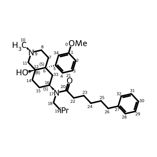 COc1cccc([C@@]23CCN(C)C[C@@]2(O)CC[C@H](N(CC(C)C)C(=O)CCCCCc2ccccc2)C3)c1